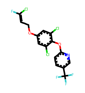 F/C(Cl)=C/COc1cc(Cl)c(Oc2ccc(C(F)(F)F)cn2)c(Cl)c1